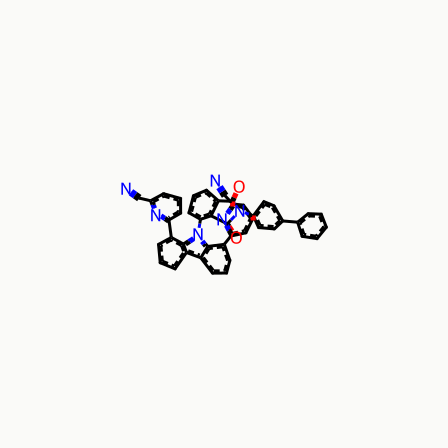 N#Cc1cccc(-c2cccc3c4cccc(-c5cccc(C#N)n5)c4n(-c4cccc5c4C(=O)N(c4ccc(-c6ccccc6)cc4)C5=O)c23)n1